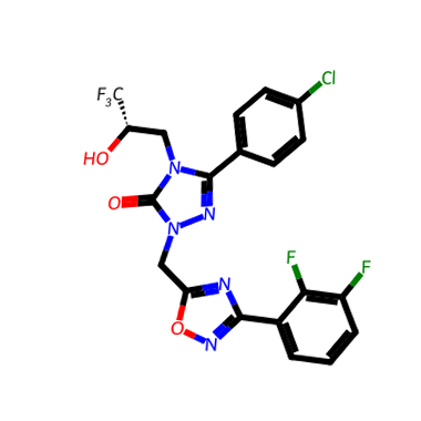 O=c1n(Cc2nc(-c3cccc(F)c3F)no2)nc(-c2ccc(Cl)cc2)n1C[C@H](O)C(F)(F)F